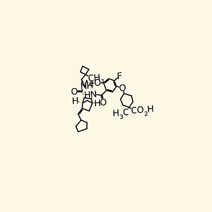 COc1cc(F)c(OC2CCC(C)(C(=O)O)CC2)cc1C(=O)N[C@@H]1[C@H]2C/C(=C\C3CCCC3)[C@H](C2)[C@@H]1C(=O)NCC1(C)CCC1